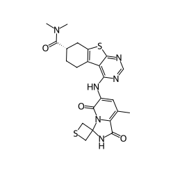 Cc1cc(Nc2ncnc3sc4c(c23)CC[C@H](C(=O)N(C)C)C4)c(=O)n2c1C(=O)NC21CSC1